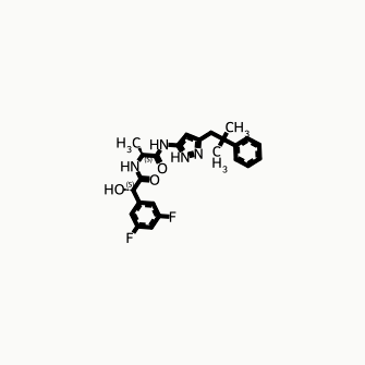 C[C@H](NC(=O)[C@@H](O)c1cc(F)cc(F)c1)C(=O)Nc1cc(CC(C)(C)c2ccccc2)n[nH]1